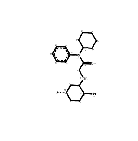 CC(C)[C@H]1CC[C@H](C)CC1NCC(=O)N(c1ccccc1)C1CCCCC1